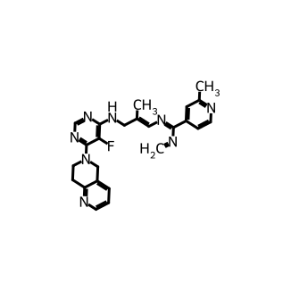 C=N/C(=N\C=C(/C)CNc1ncnc(N2CCc3ncccc3C2)c1F)c1ccnc(C)c1